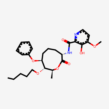 CCCCCO[C@H]1[C@H](C)OC(=O)[C@@H](NC(=O)c2nccc(OC)c2O)CCC[C@@H]1Oc1ccccc1